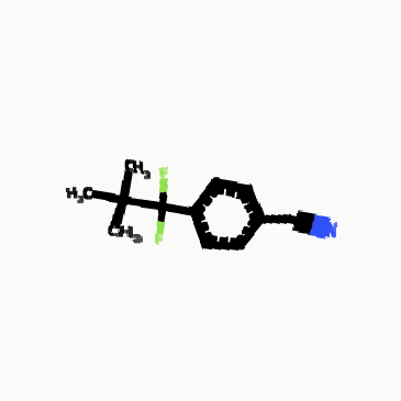 CC(C)(C)C(F)(F)c1ccc(C#N)cc1